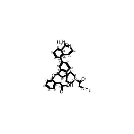 CCC(=O)N1CCC2(CC1)CC(Oc1ccccc1CC(=O)O)c1cc(-c3cccc4c(N)nccc34)ccc12